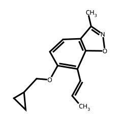 CC=Cc1c(OCC2CC2)ccc2c(C)noc12